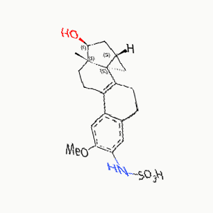 COc1cc2c(cc1NS(=O)(=O)O)CCC1=C2CC[C@]2(C)[C@@H](O)C[C@@H]3C[C@@]132